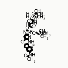 CC(=O)Nc1cc(F)c2c(c1)CCC2Nc1nc2c(cc1Cl)nc(O[C@@H]1CO[C@@H]3C(O[Si](C)(C)C(C)(C)C)CO[C@@H]31)n2COCC[Si](C)(C)C